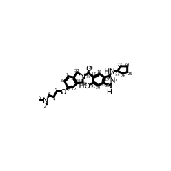 CN(C)CCCOc1ccc2c(c1)CN(C(=O)c1cc3c(NC4CCCC4)n[nH]c3cc1O)C2